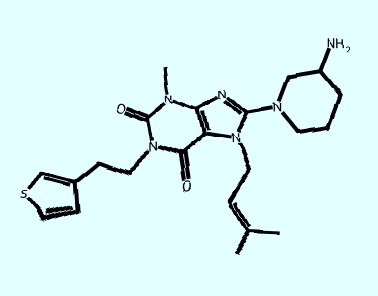 CC(C)=CCn1c(N2CCCC(N)C2)nc2c1c(=O)n(CCc1ccsc1)c(=O)n2C